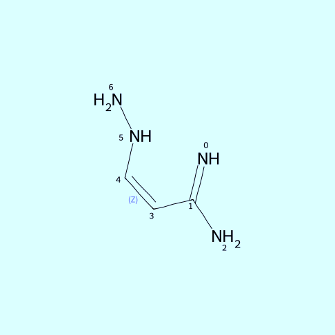 N=C(N)/C=C\NN